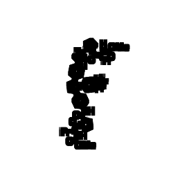 COC(=O)N[C@H](C(=O)N1CCC[C@H]1C(=O)Nc1ccc(-c2ccc(-c3ccc(-c4cnc([C@@H]5CCCN5C(=O)[C@@H](NC(=O)OC)C(C)C)[nH]4)cc3)n2-c2ccc(S(F)(F)(F)(F)F)cc2)cc1)C(C)C